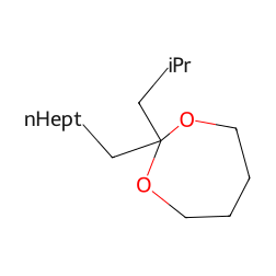 CCCCCCCCC1(CC(C)C)OCCCCO1